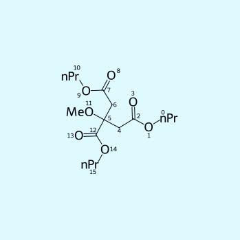 CCCOC(=O)CC(CC(=O)OCCC)(OC)C(=O)OCCC